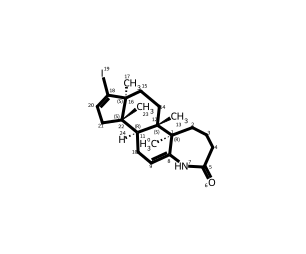 C[C@]12CCCC(=O)NC1=CC[C@@H]1[C@]2(C)CC[C@]2(C)C(I)=CC[C@@]12C